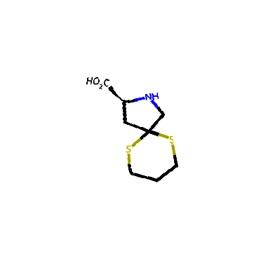 O=C(O)[C@@H]1CC2(CN1)SCCCS2